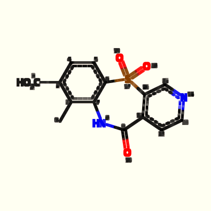 Cc1c(C(=O)O)ccc2c1NC(=O)c1ccncc1S2(=O)=O